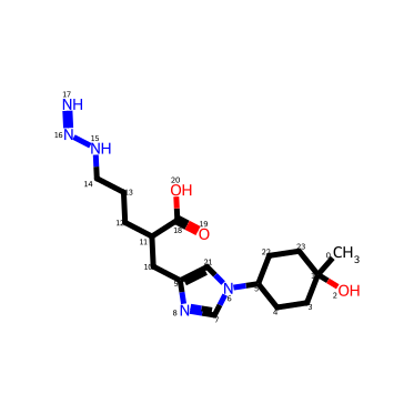 CC1(O)CCC(n2cnc(CC(CCCNN=N)C(=O)O)c2)CC1